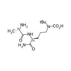 C[C@H](N)C(=O)N[C@@H](CCCN(C(=O)O)C(C)(C)C)C(N)=O